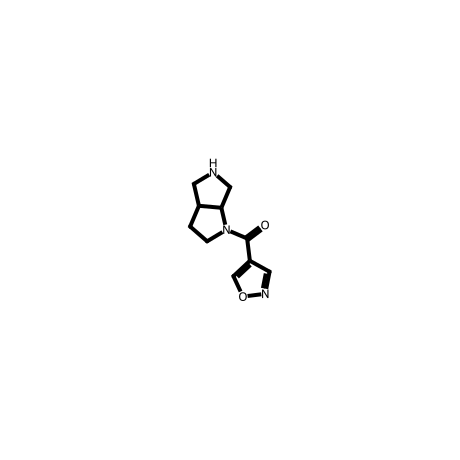 O=C(c1cnoc1)N1CCC2CNCC21